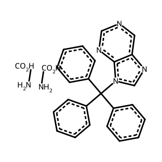 NC(=O)O.NC(=O)O.c1ccc(C(c2ccccc2)(c2ccccc2)n2cnc3cncnc32)cc1